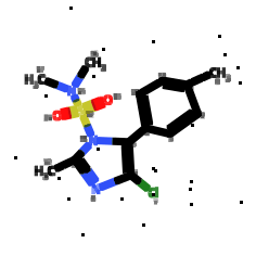 Cc1ccc(-c2c(Cl)nc(C)n2S(=O)(=O)N(C)C)cc1